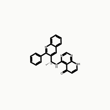 C[C@@H](Nc1ncnc2[nH]ccc(=O)c12)c1cc2ccccc2nc1-c1ccccc1